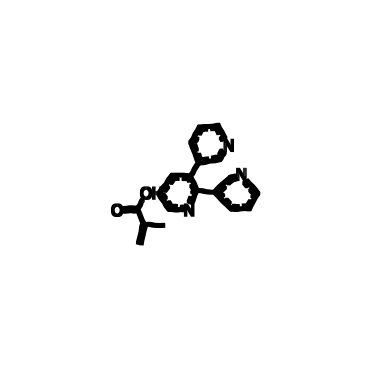 C=C(C)C(=O)O.c1cncc(-c2cccnc2-c2cccnc2)c1